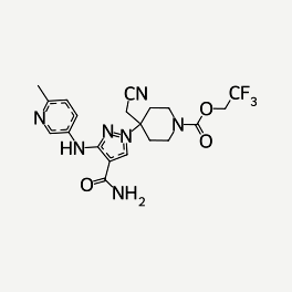 Cc1ccc(Nc2nn(C3(CC#N)CCN(C(=O)OCC(F)(F)F)CC3)cc2C(N)=O)cn1